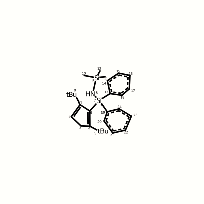 CC(C)(C)C1=CCC(C(C)(C)C)=C1[Si](N[Si](C)(C)C)(c1ccccc1)c1ccccc1